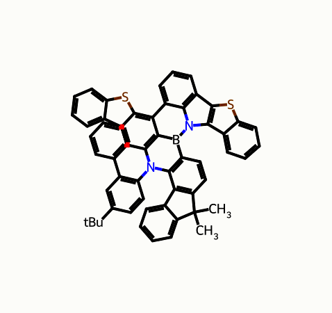 CC(C)(C)c1ccc(N2c3cc4c(sc5ccccc54)c4c3B(c3ccc5c(c32)-c2ccccc2C5(C)C)n2c3c-4cccc3c3sc4ccccc4c32)c(-c2ccccc2)c1